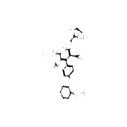 [C-]#[N+]c1c(N)nc(SCc2ncc[nH]2)c(C#N)c1-c1ccc(O[C@H]2CCCC[C@@H]2O)cc1